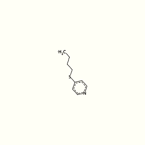 [CH2]CCCSc1ccncc1